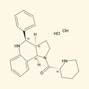 Cl.Cl.O=C([C@H]1CCCCN1)N1CC[C@@H]2[C@H](c3ccccc3)Nc3ccccc3[C@@H]21